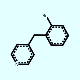 Brc1[c]cccc1Cc1ccncc1